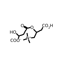 C[N+](C)(C)CC(CC(=O)O)OC(=O)CC(O)C(=O)[O-]